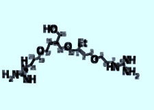 CC/C(=C\COCCCNC(=N)N)COC/C(=C\COCCCNC(=N)N)CO